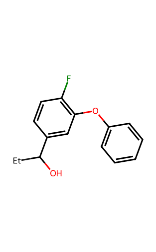 CCC(O)c1ccc(F)c(Oc2ccccc2)c1